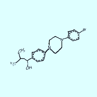 CC(C)C(O)c1ccc(N2CCN(c3ccc(Br)cc3)CC2)cc1